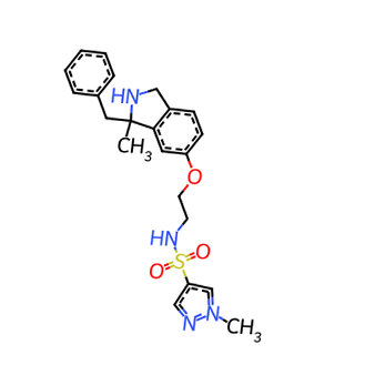 Cn1cc(S(=O)(=O)NCCOc2ccc3c(c2)C(C)(Cc2ccccc2)NC3)cn1